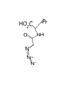 CC(C)C(NC(=O)CN=[N+]=[N-])C(=O)O